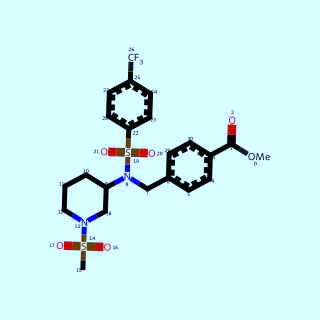 COC(=O)c1ccc(CN(C2CCCN(S(C)(=O)=O)C2)S(=O)(=O)c2ccc(C(F)(F)F)cc2)cc1